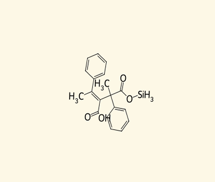 CC(=C(C(=O)O)C(C)(C(=O)O[SiH3])c1ccccc1)c1ccccc1